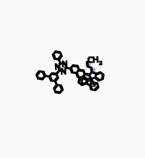 C\C=C/C=C1\C(=C2/C=c3ccc(-c4nc(-c5ccccc5)nc(-c5cc(-c6ccccc6)cc(-c6ccccc6)c5)n4)cc3=CC2C)C2(c3ccccc31)c1ccccc1-c1ccccc12